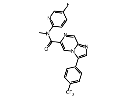 CN(C(=O)c1cn2c(-c3ccc(C(F)(F)F)cc3)cnc2cn1)c1ccc(F)cn1